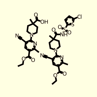 CCOC(=O)c1cc(C#N)c(N2CCC(C)(C(=O)NS(=O)(=O)c3ccc(Cl)s3)CC2)nc1C.CCOC(=O)c1cc(C#N)c(N2CCC(C)(C(=O)O)CC2)nc1C